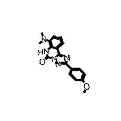 COc1ccc(-c2nc3c4cccc(N(C)C)c4[nH]c(=O)n3n2)cc1